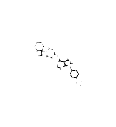 CS(=O)(=O)c1ccc(-n2ncc3c(OC4CCN(C5(C(=O)O)CCCCC5)CC4)ncnc32)cc1